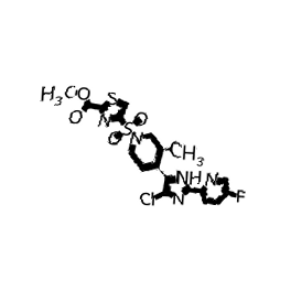 COC(=O)c1nc(S(=O)(=O)N2CC[C@@H](c3[nH]c(-c4ccc(F)cn4)nc3Cl)[C@@H](C)C2)cs1